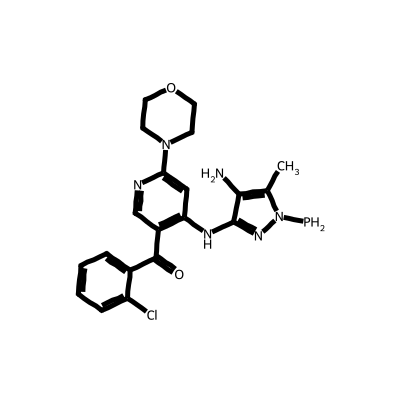 Cc1c(N)c(Nc2cc(N3CCOCC3)ncc2C(=O)c2ccccc2Cl)nn1P